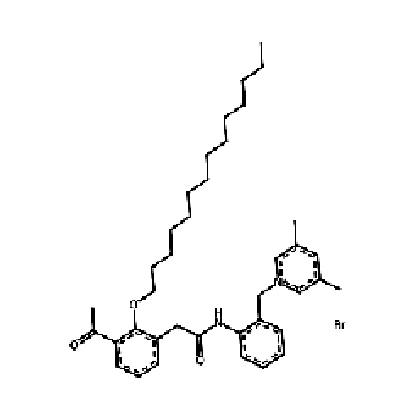 CCCCCCCCCCCCCCOc1c(CC(=O)Nc2ccccc2C[n+]2cc(C)cc(C)c2)cccc1C(C)=O.[Br-]